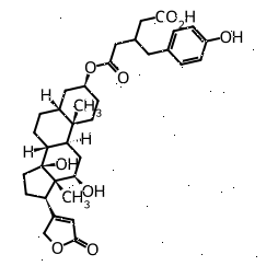 C[C@]12CC[C@H](OC(=O)CC(CC(=O)O)Cc3ccc(O)cc3)C[C@H]1CC[C@@H]1[C@@H]2C[C@@H](O)[C@]2(C)[C@@H](C3=CC(=O)OC3)CC[C@]12O